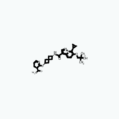 CC(C)(O)COc1ccc2c(C(=O)N[C@H]3CC4(C3)C[C@H](Oc3ncccc3C(N)=O)C4)cnn2c1C1CC1